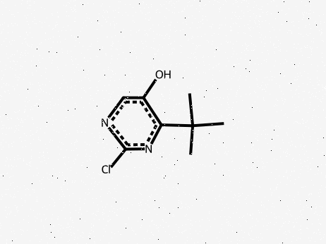 CC(C)(C)c1nc(Cl)ncc1O